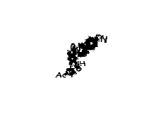 CC(=O)N1CCC(OC(=O)Nc2cc(C(=O)N3CCC(F)(c4ccc(C#N)cc4)CC3)c(C)cc2C)C1